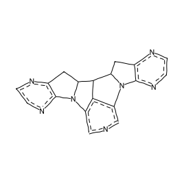 c1cnc2c(n1)CC1C3c4c(cncc4N4c5nccnc5CC34)N21